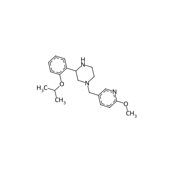 COc1ccc(CN2CCNC(c3ccccc3OC(C)C)C2)cn1